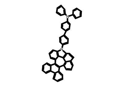 c1ccc(N(c2ccccc2)c2ccc(-c3ccc(-n4c5cccc6c5c5c7c(cccc7ccc54)-c4c-6c5ccccc5c5ccccc45)cc3)cc2)cc1